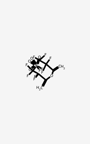 C=C(OC(=C)C(F)(F)C(F)(F)S(=O)(=O)F)C(F)(F)C(F)(F)S(=O)(=O)F